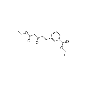 CCOC(=O)CC(=O)C=Cc1cccc(C(=O)OCC)c1